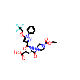 CCOC(=O)N1CCN(C(=O)[C@H](CCC(=O)O)NC(=O)c2cc(OCC(F)(F)F)n(-c3ccccc3)n2)CC1